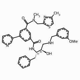 COc1cccc(CNC[C@@H](O)[C@H](Cc2ccccc2)NC(=O)c2cc(C(=O)N(C)Cc3nc(C)cs3)cc(-c3cccnc3)c2)c1